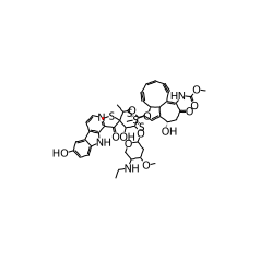 CCNC1COC(OC2C(O[C@H]3C#C/C=C\C#CC4=C(NC(=O)OC)C(=O)C[C@H](O)/C(=C/CS(C)(=S)=S)C43)OC(C)C(SC)(C(=O)c3nccc4c3[nH]c3ccc(O)cc34)C2O)CC1OC